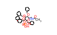 CC(=O)NC[C@H]1O[C@](Cc2ccccc2)(OP(=O)(O)O)[C@](Cc2ccccc2)(OCc2ccccc2)[C@@H](OCc2ccccc2)[C@@H]1OCc1ccccc1